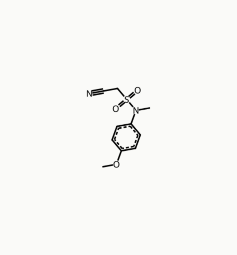 COc1ccc(N(C)S(=O)(=O)CC#N)cc1